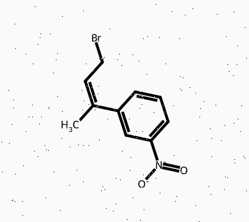 C/C(=C/CBr)c1cccc([N+](=O)[O-])c1